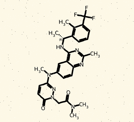 Cc1nc(N[C@H](C)c2cccc(C(F)(F)F)c2C)c2cc(N(C)c3ccc(=O)n(CC(=O)N(C)C)n3)ccc2n1